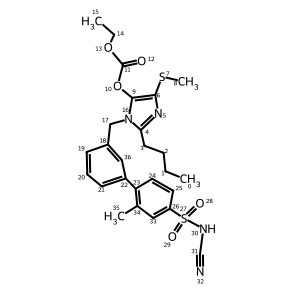 CCCCc1nc(SC)c(OC(=O)OCC)n1Cc1cccc(-c2ccc(S(=O)(=O)NC#N)cc2C)c1